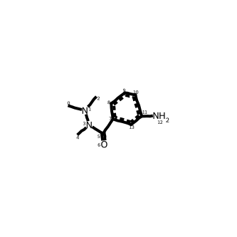 CN(C)N(C)C(=O)c1cccc(N)c1